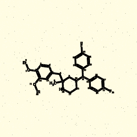 CCOc1ccc(CC2(C)CN(C(c3ccc(F)cc3)c3ccc(F)cc3)CCN2)cc1OCC